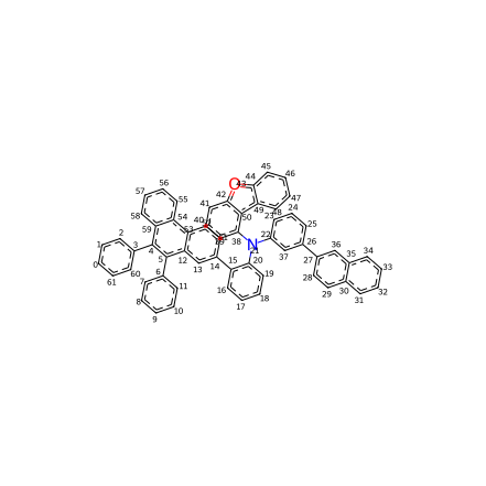 c1ccc(-c2c(-c3ccccc3)c3cc(-c4ccccc4N(c4cccc(-c5ccc6ccccc6c5)c4)c4cccc5oc6ccccc6c45)ccc3c3ccccc23)cc1